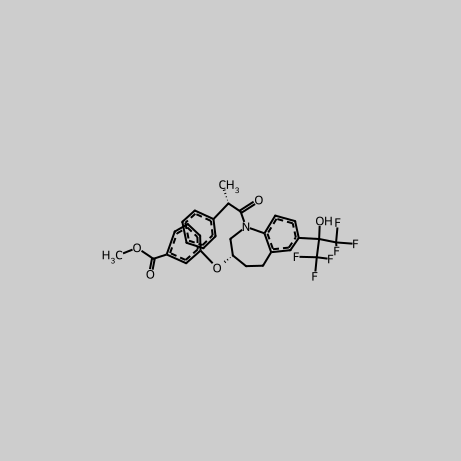 COC(=O)c1cccc(O[C@H]2CCc3cc(C(O)(C(F)(F)F)C(F)(F)F)ccc3N(C(=O)[C@@H](C)c3ccccc3)C2)c1